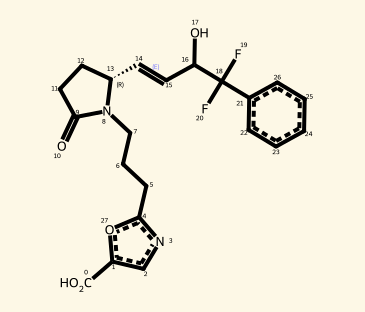 O=C(O)c1cnc(CCCN2C(=O)CC[C@@H]2/C=C/C(O)C(F)(F)c2ccccc2)o1